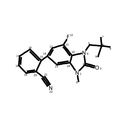 Cn1c(=O)n(CC(C)(C)C)c2c(F)cc(-c3ccccc3C#N)cc21